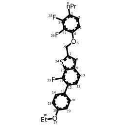 CCCc1ccc(OCc2cc3ccc(-c4ccc(OCC)cc4)c(F)c3s2)c(F)c1F